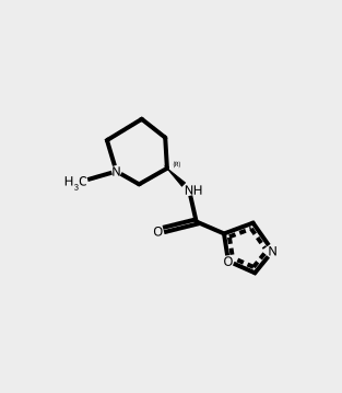 CN1CCC[C@@H](NC(=O)c2cnco2)C1